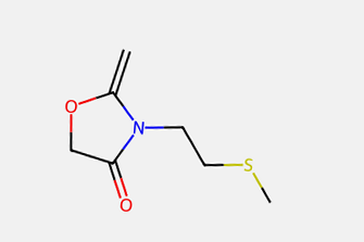 C=C1OCC(=O)N1CCSC